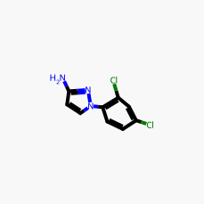 Nc1ccn(-c2ccc(Cl)cc2Cl)n1